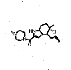 C=CCC1C2C=C(C(=O)N3CCN(C)CC3)NC2CCC1(C)Cl